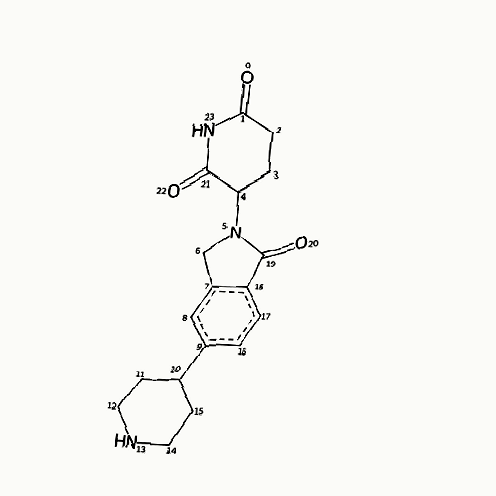 O=C1CCC(N2Cc3cc(C4CCNCC4)ccc3C2=O)C(=O)N1